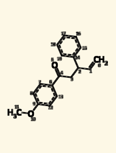 C=CC(CC(=O)c1ccc(OC)cc1)c1ccccc1